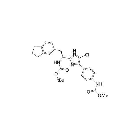 COC(=O)Nc1ccc(-c2nc([C@H](Cc3ccc4c(c3)C[CH]C4)NC(=O)OC(C)(C)C)[nH]c2Cl)cc1